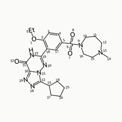 CCOc1ccc(S(=O)(=O)N2CCCN(C)CC2)cc1-c1nn2c(C3CCCC3)nnc2c(=O)[nH]1